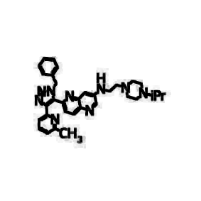 Cc1cccc(-c2nnn(Cc3ccccc3)c2-c2ccc3ncc(NCCN4CCN(C(C)C)CC4)cc3n2)n1